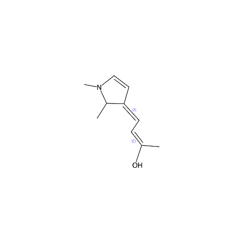 C/C(O)=C\C=C1\C=CN(C)C1C